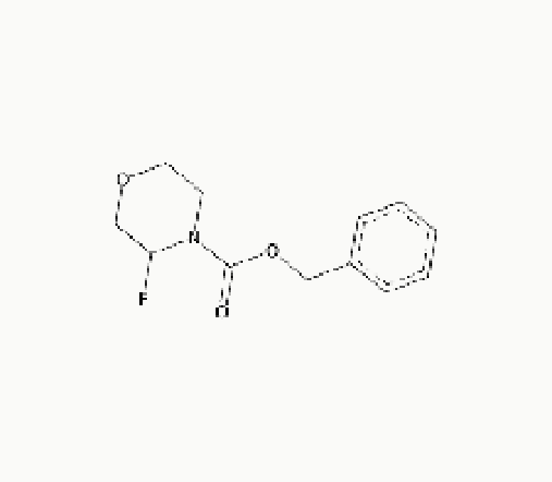 O=C(OCc1ccccc1)N1CCOCC1F